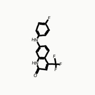 O=c1cc(C(F)(F)F)c2ccc(Nc3ccc(F)cc3)cc2[nH]1